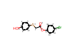 O=C(CSc1ccc(O)cc1)Oc1ccc(Br)cc1